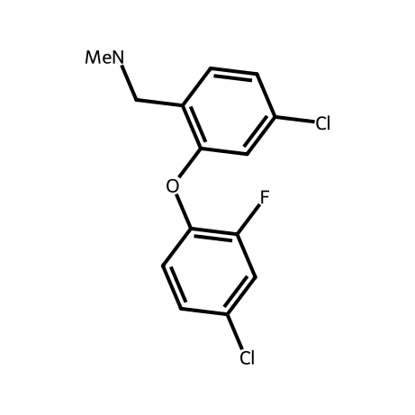 CNCc1ccc(Cl)cc1Oc1ccc(Cl)cc1F